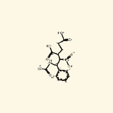 O=C(O)CCC(C(=O)O)C(C(NC(=O)O)c1ccccc1)[PH](=O)O